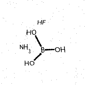 F.N.OB(O)O